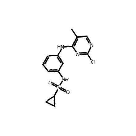 Cc1cnc(Cl)nc1Nc1cccc(NS(=O)(=O)C2CC2)c1